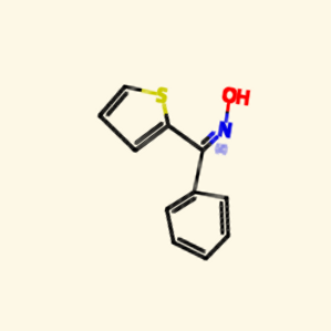 O/N=C(/c1ccccc1)c1cccs1